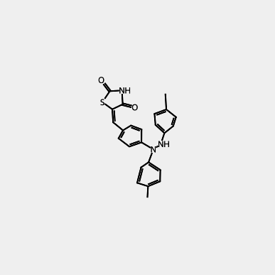 Cc1ccc(NN(c2ccc(C)cc2)c2ccc(C=C3SC(=O)NC3=O)cc2)cc1